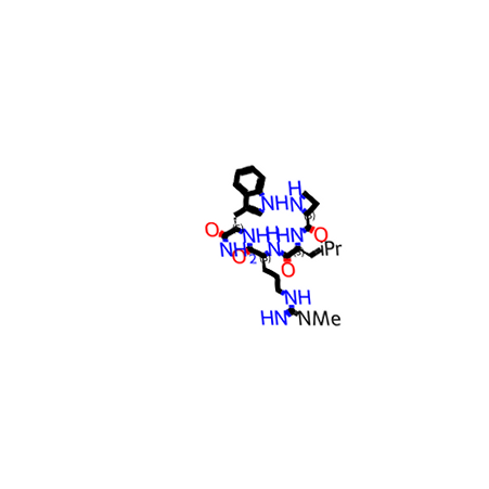 CNC(=N)NCCC[C@H](NC(=O)[C@H](CC(C)C)NC(=O)[C@@H]1CCN1)C(=O)N[C@@H](Cc1c[nH]c2ccccc12)C(N)=O